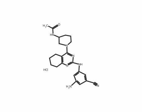 CC(=O)NC1CCCN(c2nc(Nc3cc(N)cc(C#N)c3)nc3c2CCCC3)C1.Cl